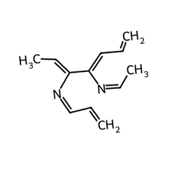 C=C\C=N/C(=C\C)C(=C/C=C)/N=C\C